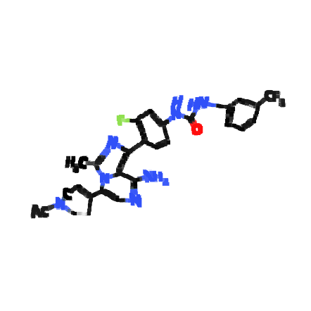 CC(=O)N1CC=C(c2cnc(N)c3c(-c4ccc(NC(=O)Nc5cccc(C(F)(F)F)c5)cc4F)nc(C)n23)CC1